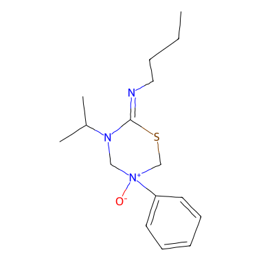 CCCCN=C1SC[N+]([O-])(c2ccccc2)CN1C(C)C